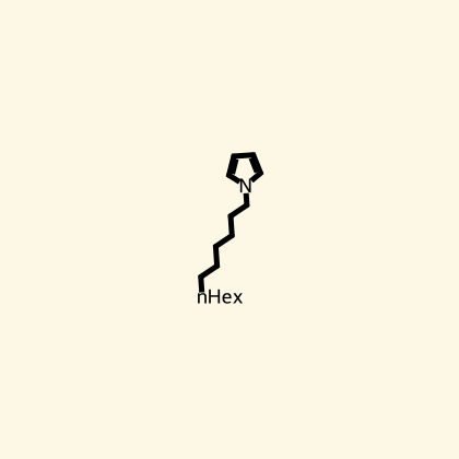 [CH2]CCCCCCCCCCCn1cccc1